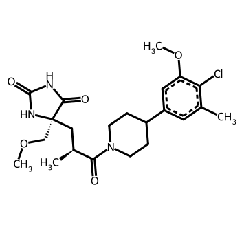 COC[C@]1(C[C@H](C)C(=O)N2CCC(c3cc(C)c(Cl)c(OC)c3)CC2)NC(=O)NC1=O